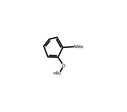 CCCCOc1ccccc1NC